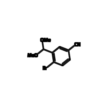 COC(OC)c1cc(C#N)ccc1Br